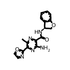 Cc1nc(C(=O)N[C@@H]2COc3ccccc32)c(N)nc1-c1ncco1